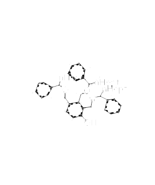 CCCCCCCC(OCc1ccc(O)c(COC(CCCCCCC)c2ccccc2)c1COC(CCCCCCC)c1ccccc1)c1ccccc1